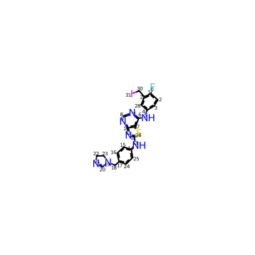 Fc1ccc(Nc2ncnc3nc(Nc4ccc(CN5C=NCC5)cc4)sc23)cc1CI